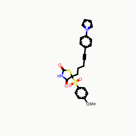 COc1ccc(S(=O)(=O)C2(CCCC#Cc3ccc(-n4cccc4)cc3)SC(=O)NC2=O)cc1